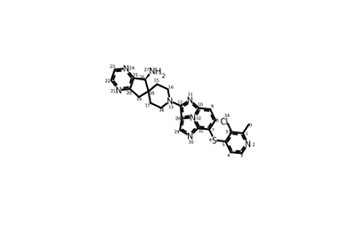 Cc1nccc(Sc2ccc3nc(N4CCC5(CC4)Cc4nccnc4[C@H]5N)c4cnc2n34)c1Cl